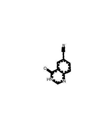 N#Cc1ccc2nc[nH]c(=O)c2c1